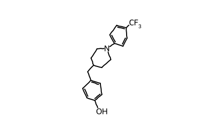 Oc1ccc(CC2CCN(c3ccc(C(F)(F)F)cc3)CC2)cc1